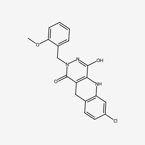 COc1ccccc1Cn1nc(O)c2c(c1=O)Cc1ccc(Cl)cc1N2